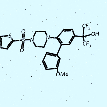 COc1cccc(-c2cc(C(O)(C(F)(F)F)C(F)(F)F)ccc2N2CCN(S(=O)(=O)c3cccs3)CC2)c1